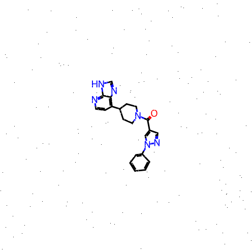 O=C(c1cnn(-c2ccccc2)c1)N1CCC(c2ccnc3[nH]cnc23)CC1